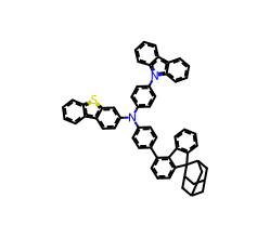 c1ccc2c(c1)-c1c(-c3ccc(N(c4ccc(-n5c6ccccc6c6ccccc65)cc4)c4ccc5c(c4)sc4ccccc45)cc3)cccc1C21C2CC3CC(C2)CC1C3